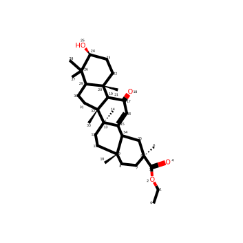 CCOC(=O)[C@@]1(C)CC[C@]2(C)CC[C@]3(C)C(=CC(=O)C4[C@@]5(C)CC[C@H](O)C(C)(C)C5CC[C@]43C)C2C1